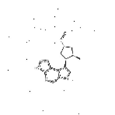 C[C@@H]1C[C@@H](C=O)C[C@@H]1c1cnc2cnc3[nH]ccc3n12